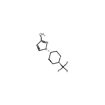 Cc1ccn([C@H]2CC[C@H](C(F)(F)F)CC2)n1